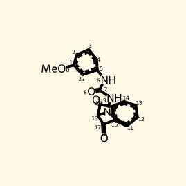 COc1cccc(NC(=O)NN2c3cccc4c3C(=O)C2C4=O)c1